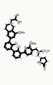 COc1cc(-c2cccc(-c3cccc(-c4ccc(CN(C[C@@H]5CCC(=O)N5)C(=O)O)c(OC)n4)c3Cl)c2Cl)cc2c1CN(CC(O)C(C)C)CC2